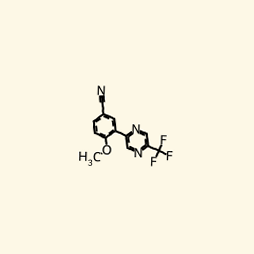 COc1ccc(C#N)cc1-c1cnc(C(F)(F)F)cn1